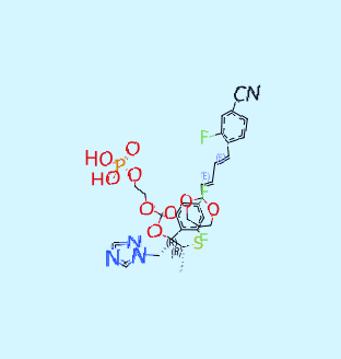 C[C@@H](S[C@H]1CO[C@H](/C=C/C=C/c2ccc(C#N)cc2F)OC1)[C@@](Cn1cncn1)(OC(=O)OCCOP(=O)(O)O)c1ccc(F)cc1F